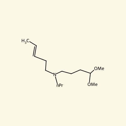 C/C=C/CCN(CCC)CCCC(OC)OC